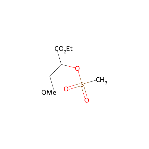 CCOC(=O)C(COC)OS(C)(=O)=O